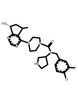 CC1C[C@@H](O)c2ncnc(N3CCN(C(=O)N(Cc4ccc(Cl)c(F)c4)C4CCNC4)CC3)c21